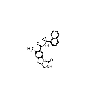 Cc1cc2c(cc1C(=O)NC1(c3cccc4ccccc34)CC1)N1C(=O)NCC1C2